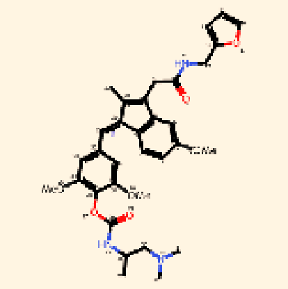 COc1ccc2c(c1)C(CC(=O)NCc1ccco1)=C(C)/C2=C/c1cc(OC)c(OC(=O)NC(C)CN(C)C)c(OC)c1